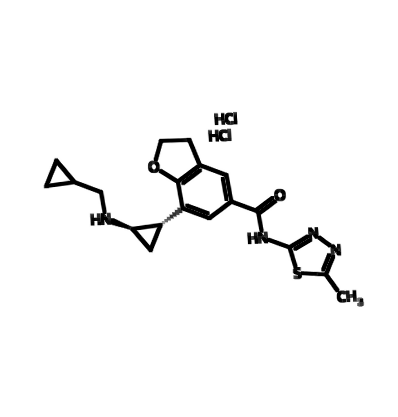 Cc1nnc(NC(=O)c2cc3c(c([C@@H]4C[C@H]4NCC4CC4)c2)OCC3)s1.Cl.Cl